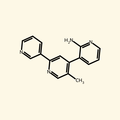 Cc1cnc(-c2cccnc2)cc1-c1cccnc1N